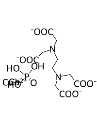 O=C([O-])CN(CCN(CC(=O)[O-])CC(=O)[O-])CC(=O)[O-].O=P(O)(O)O.[Ca+2].[Ca+2]